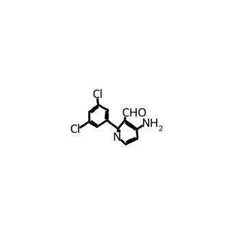 Nc1ccnc(-c2cc(Cl)cc(Cl)c2)c1C=O